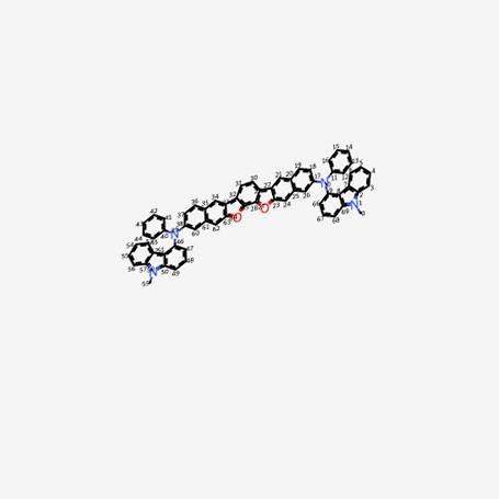 Cn1c2ccccc2c2c(N(c3ccccc3)c3ccc4cc5c(cc4c3)oc3c5ccc4c5cc6ccc(N(c7ccccc7)c7cccc8c7c7ccccc7n8C)cc6cc5oc43)cccc21